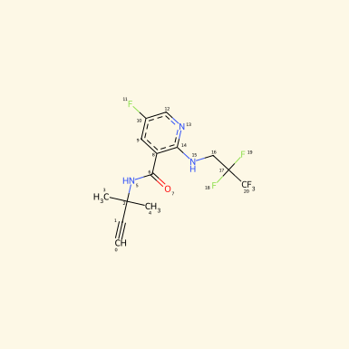 C#CC(C)(C)NC(=O)c1cc(F)cnc1NCC(F)(F)C(F)(F)F